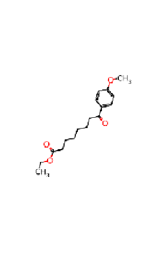 CCOC(=O)CCCCCCC(=O)c1ccc(OC)cc1